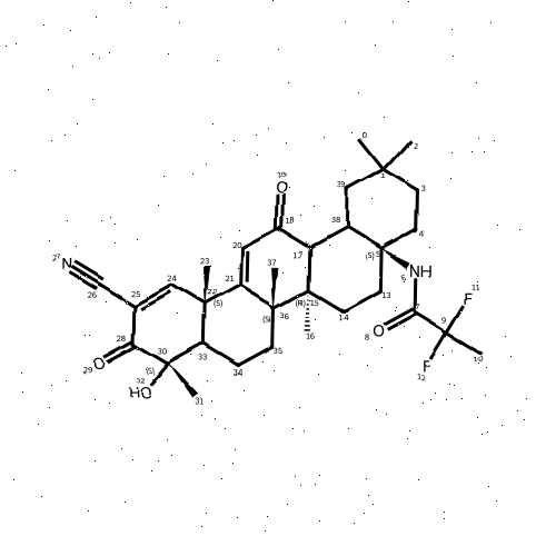 CC1(C)CC[C@]2(NC(=O)C(C)(F)F)CC[C@]3(C)C(C(=O)C=C4[C@@]5(C)C=C(C#N)C(=O)[C@@](C)(O)C5CC[C@]43C)C2C1